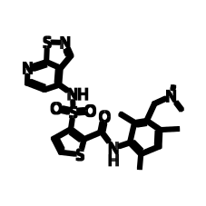 Cc1cc(C)c(NC(=O)c2sccc2S(=O)(=O)Nc2ccnc3sncc23)c(C)c1CN(C)C